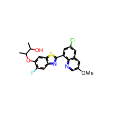 COc1cnc2c(-c3nc4cc(F)c(OC(C)C(C)O)cc4s3)cc(Cl)cc2c1